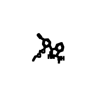 C#Cc1ccc(C2=NNC(NC)c3ccccc32)c(OCOCC)c1